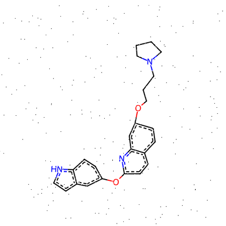 c1cc2cc(Oc3ccc4ccc(OCCCN5CCCC5)cc4n3)ccc2[nH]1